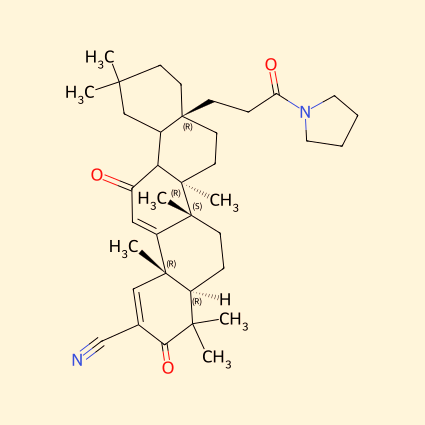 CC1(C)CC[C@]2(CCC(=O)N3CCCC3)CC[C@]3(C)C(C(=O)C=C4[C@@]5(C)C=C(C#N)C(=O)C(C)(C)[C@@H]5CC[C@]43C)C2C1